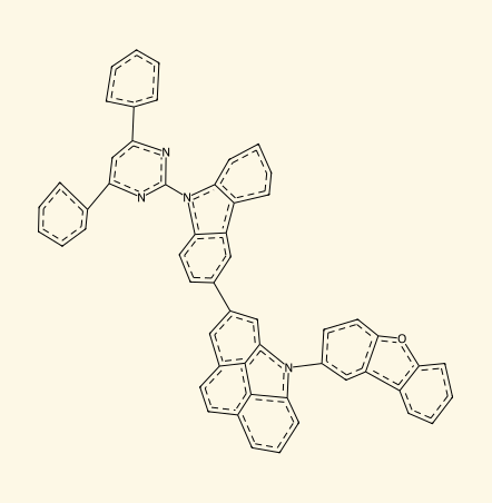 c1ccc(-c2cc(-c3ccccc3)nc(-n3c4ccccc4c4cc(-c5cc6ccc7cccc8c7c6c(c5)n8-c5ccc6oc7ccccc7c6c5)ccc43)n2)cc1